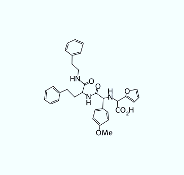 COc1ccc(C(NC(C(=O)O)c2ccco2)C(=O)NC(CCc2ccccc2)C(=O)NCCc2ccccc2)cc1